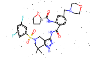 CC1(C)CN(S(=O)(=O)c2cc(F)cc(F)c2)Cc2c(NC(=O)c3ccc(CN4CCOCC4)cc3NC(=O)[C@@H]3CCCO3)n[nH]c21